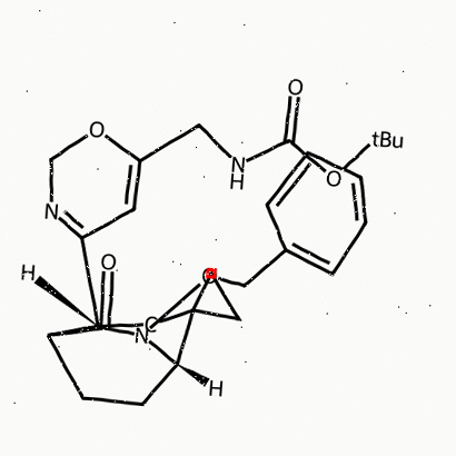 CC(C)(C)OC(=O)NCC1=CC([C@@H]2CC3(CC3)[C@@H]3CCC2C(=O)N3OCc2ccccc2)=NCO1